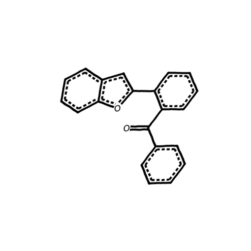 O=C(c1ccccc1)c1ccccc1-c1cc2ccccc2o1